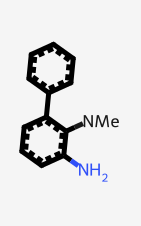 CNc1c(N)cccc1-c1ccccc1